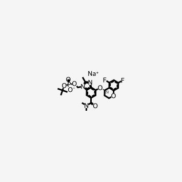 Cc1nc2c(O[C@H]3CCOc4cc(F)cc(F)c43)cc(C(=O)N(C)C)cc2n1COP(=O)([O-])OC(C)(C)C.[Na+]